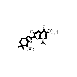 CC1(C)CCc2cc(-c3nc4c(cc3F)c(=O)c(C(=O)O)cn4C3CC3)sc2C1N